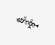 CC(C)c1nn(CC(=O)Nc2ccc3nncn3n2)c(=O)c2cc(C3CC3)oc12